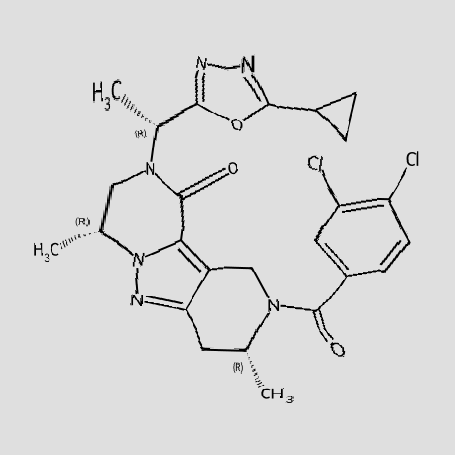 C[C@@H]1Cc2nn3c(c2CN1C(=O)c1ccc(Cl)c(Cl)c1)C(=O)N([C@H](C)c1nnc(C2CC2)o1)C[C@H]3C